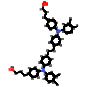 Cc1ccc(N(c2ccc(CCCO)cc2)c2ccc(CCc3ccc(N(c4ccc(CCCO)cc4)c4ccc(C)c(C)c4)cc3)cc2)cc1C